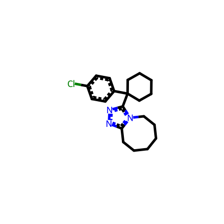 Clc1ccc(C2(c3nnc4n3CCCCCC4)CCCCC2)cc1